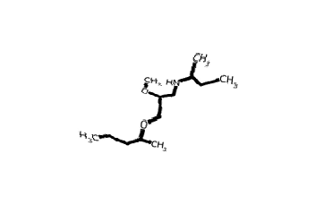 CCCC(C)OCC(CNC(C)CC)OC